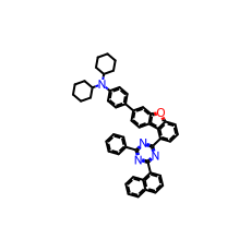 c1ccc(-c2nc(-c3cccc4ccccc34)nc(-c3cccc4oc5cc(-c6ccc(N(C7CCCCC7)C7CCCCC7)cc6)ccc5c34)n2)cc1